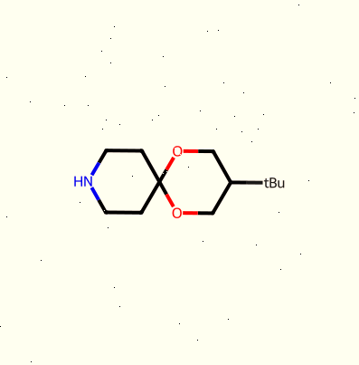 CC(C)(C)C1COC2(CCNCC2)OC1